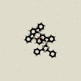 c1ccc(-c2nc(-c3ccccc3)nc(-n3c4ccccc4c4cc(-n5c6ccccc6c6ccc7c8ccccc8n(-c8ccccc8)c7c65)ccc43)n2)cc1